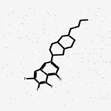 CCCCC1CCC2CC(c3cc(F)c4c(F)c(F)c(F)cc4c3)CCC2C1